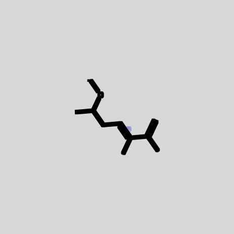 [CH2]OC(C)C/C=C(\C)C(=C)C